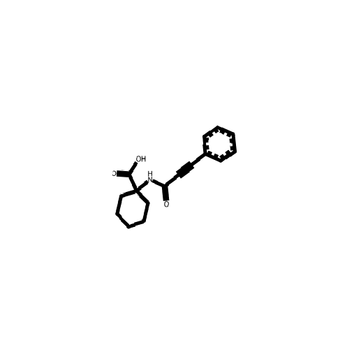 O=C(C#Cc1ccccc1)NC1(C(=O)O)CCCCC1